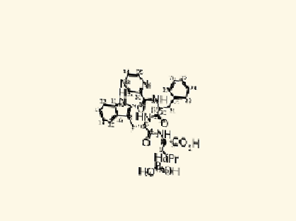 CC(C)C[C@H](NC(=O)[C@H](Cc1c[nH]c2ccccc12)NC(=O)[C@H](Cc1ccccc1)NC(=O)c1cnccn1)C(=O)O.OBO